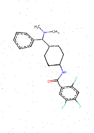 CN(C)C(c1ccccc1)C1CCC(NC(=O)c2cc(F)c(F)cc2F)CC1